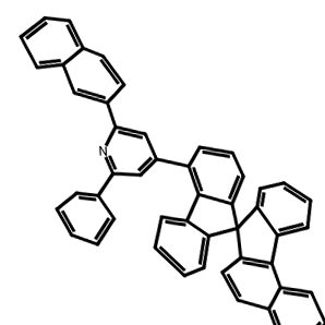 c1ccc(-c2cc(-c3cccc4c3-c3ccccc3C43c4ccccc4-c4c3ccc3ccccc43)cc(-c3ccc4ccccc4c3)n2)cc1